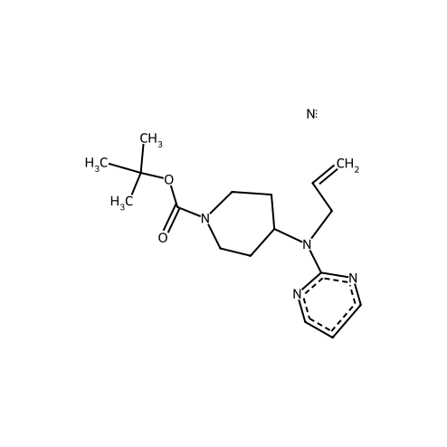 C=CCN(c1ncccn1)C1CCN(C(=O)OC(C)(C)C)CC1.[N]